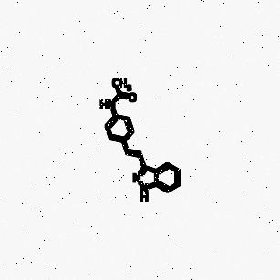 CC(=O)Nc1ccc(C=Cc2n[nH]c3ccccc23)cc1